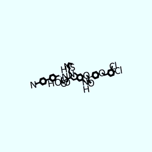 N#Cc1ccc(-c2ccc(C[C@H](NC(=O)C3Cc4cc5c(cc4CN3Cc3nccs3)O[C@@H](c3ccc(OCc4ccc(Cl)c(Cl)c4)cc3)C(=O)N5)C(=O)O)cc2)cc1